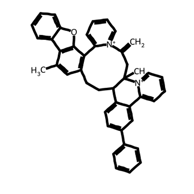 C=C1CC2(C)C(CCc3cc(C)c4c(oc5ccccc54)c3-c3cccc[n+]31)c1ccc(-c3ccccc3)cc1-c1cccc[n+]12